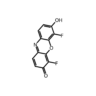 O=c1ccc2nc3ccc(O)c(F)c3oc-2c1F